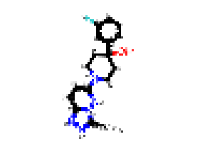 OC1(c2cccc(F)c2)CCN(c2ccc3nnc(C(F)(F)F)n3n2)CC1